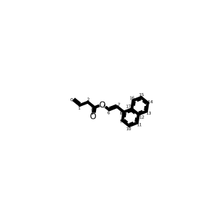 C=CCC(=O)OC=Cc1cccc2ccccc12